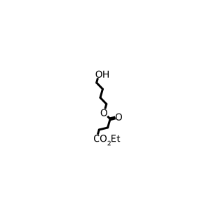 CCOC(=O)CCC(=O)OCCCCO